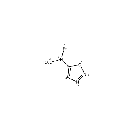 CCN(C(=O)O)c1cnno1